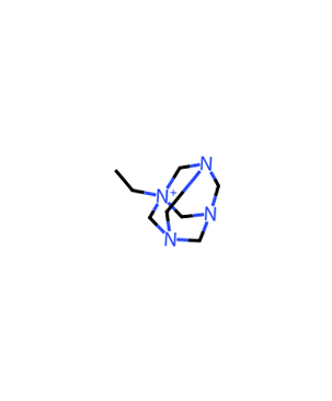 CC[N+]12CN3CN(CN(C3)C1)C2